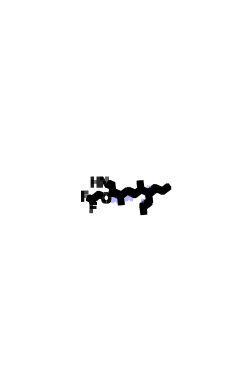 C/C=C/C(=C\CC)C(C)/C=C/C(C)=C(\C=N)OCC(F)F